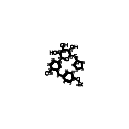 CCOc1ccc(Cc2cc([C@@H]3O[C@H](SC4CCCC4)[C@@H](O)[C@H](O)[C@H]3O)ccc2Cl)cc1